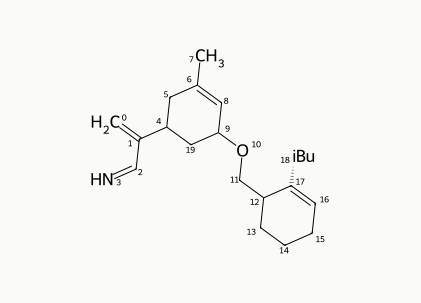 C=C(C=N)C1CC(C)=CC(OCC2CCCC=C2[C@@H](C)CC)C1